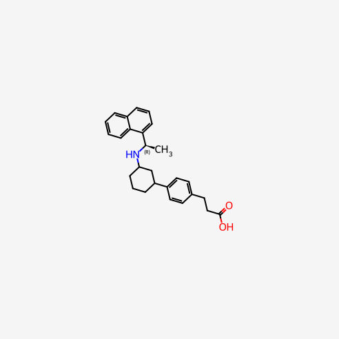 C[C@@H](NC1CCCC(c2ccc(CCC(=O)O)cc2)C1)c1cccc2ccccc12